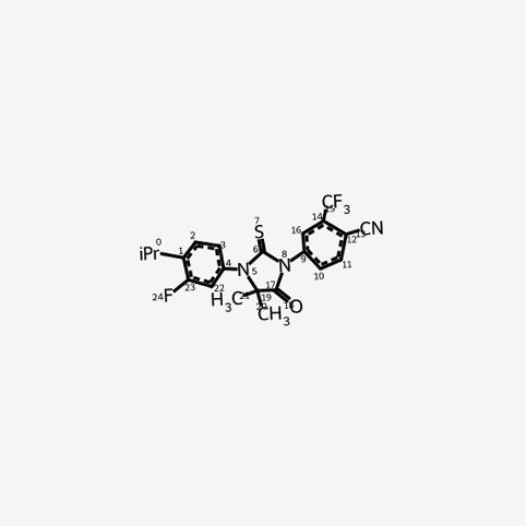 CC(C)c1ccc(N2C(=S)N(c3ccc(C#N)c(C(F)(F)F)c3)C(=O)C2(C)C)cc1F